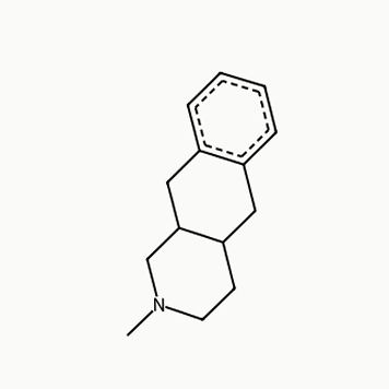 CN1CCC2Cc3ccccc3CC2C1